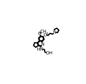 COc1cc2c3c(c(NCCO)nc2cc1OCCCN1CCCC1)CCC3